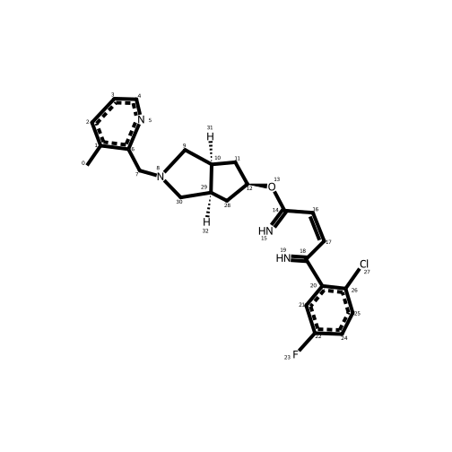 Cc1cccnc1CN1C[C@H]2C[C@@H](OC(=N)/C=C\C(=N)c3cc(F)ccc3Cl)C[C@H]2C1